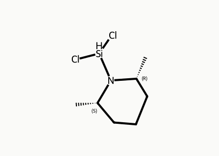 C[C@@H]1CCC[C@H](C)N1[SiH](Cl)Cl